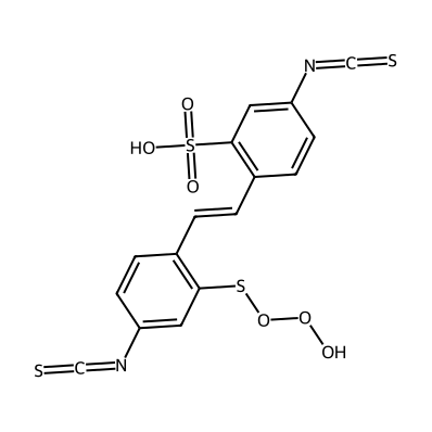 O=S(=O)(O)c1cc(N=C=S)ccc1/C=C/c1ccc(N=C=S)cc1SOOO